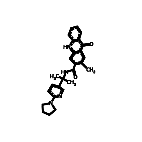 Cc1cc2c(=O)c3ccccc3[nH]c2cc1C(=O)NC(C)(C)c1ccc(N2CCCC2)nc1